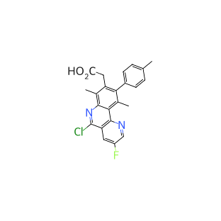 Cc1ccc(-c2c(CC(=O)O)c(C)c3nc(Cl)c4cc(F)cnc4c3c2C)cc1